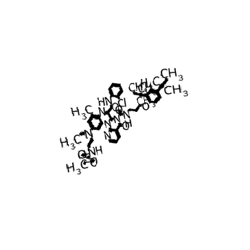 CCN(CCNS(C)(=O)=O)c1ccc(/N=C(/C(=O)Nc2ccccc2Cl)c2nc3ncccc3c(=O)n2C(=O)NCCCOc2ccc(C(C)(C)CC)cc2C(C)(C)CC)c(C)c1